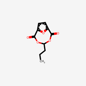 CCCC1OC(=O)c2ccc(o2)C(=O)O1